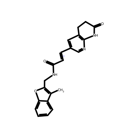 Cc1c(CNC(=O)/C=C/c2cnc3c(c2)CCC(=O)N3)oc2ccccc12